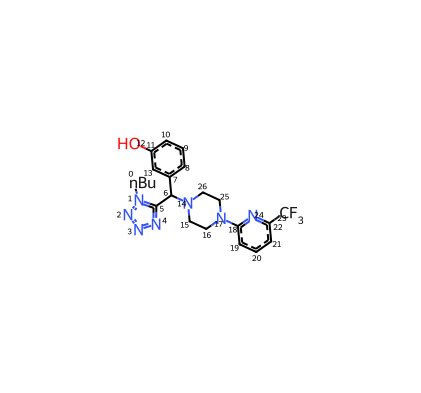 CCCCn1nnnc1C(c1cccc(O)c1)N1CCN(c2cccc(C(F)(F)F)n2)CC1